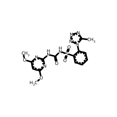 COc1cc(OC)nc(NC(=O)NS(=O)(=O)c2ccccc2-n2nnnc2C)n1